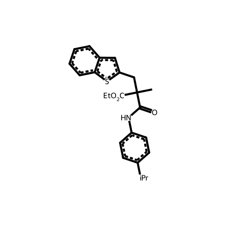 CCOC(=O)C(C)(Cc1cc2ccccc2s1)C(=O)Nc1ccc(C(C)C)cc1